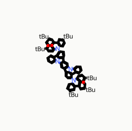 CC(C)(C)c1ccc(N(c2ccc(C(C)(C)C)cc2-c2cccc(C(C)(C)C)c2)c2ccc3c4cc5c(cc4n4c6ccccc6c2c34)c2ccc(N(c3ccc(C(C)(C)C)cc3)c3ccc(C(C)(C)C)cc3-c3cccc(C(C)(C)C)c3)c3c4ccccc4n5c23)cc1